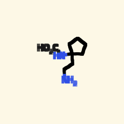 NCCC1(NC(=O)O)CCCC1